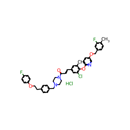 Cc1ccc(COc2ccc(Oc3c(C)cc(/C=C/C(=O)N4CCN(Cc5ccc(CCOc6ccc(F)cc6)cc5)CC4)cc3Cl)nc2)cc1F.Cl